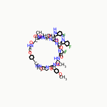 CCC1NC(=O)[C@@H]2C[C@H](F)CN2C(=O)[C@H](Cc2c[nH]c3ccc(F)cc23)NC(=O)[C@H](Cc2c[nH]c3ccc(F)cc23)NC(=O)[C@@H](C)NC(=O)[C@H](NC(C)=O)CCC(=O)NCCOc2ccc(cc2)CCNC(=O)[C@]2(C)CCCN2C(=O)[C@H](Cc2ccc(OC)cc2)NC1=O